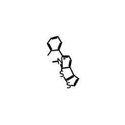 Cc1ccccc1-c1ccc2c3ccsc3sc2[n+]1C